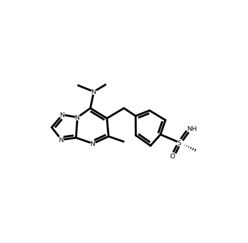 Cc1nc2ncnn2c(N(C)C)c1Cc1ccc([S@@](C)(=N)=O)cc1